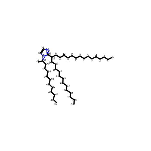 CCCCCCCCCCCCCCCC(CCCCCCCCCCCCC)c1nccn1C(C)CCCCCCCCCCC